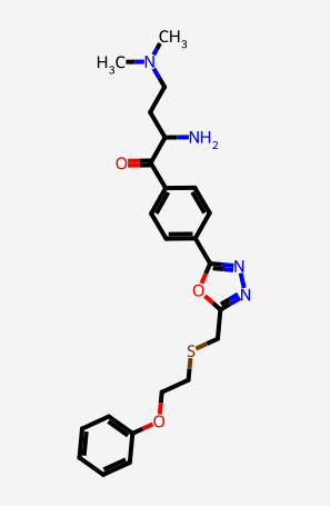 CN(C)CCC(N)C(=O)c1ccc(-c2nnc(CSCCOc3ccccc3)o2)cc1